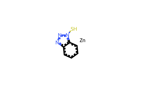 Sn1nnc2ccccc21.[Zn]